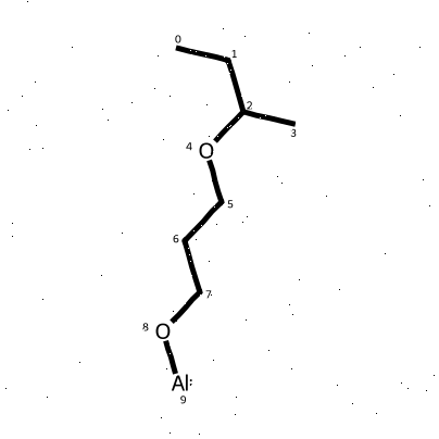 CCC(C)OCCC[O][Al]